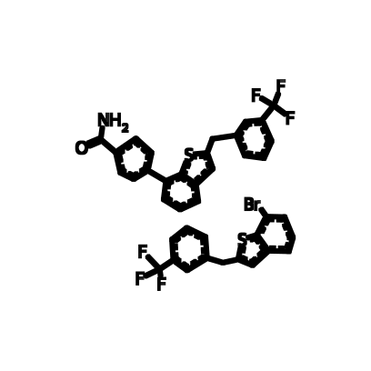 FC(F)(F)c1cccc(Cc2cc3cccc(Br)c3s2)c1.NC(=O)c1ccc(-c2cccc3cc(Cc4cccc(C(F)(F)F)c4)sc23)cc1